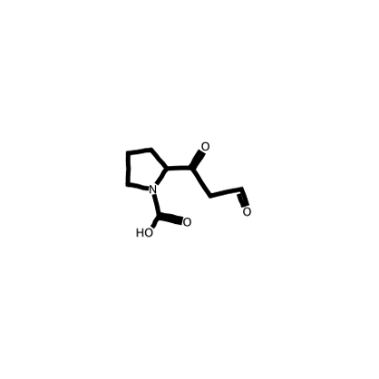 O=CCC(=O)C1CCCN1C(=O)O